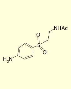 CC(=O)NCCS(=O)(=O)c1ccc(N)cc1